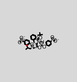 CC(C)CN(C[C@@H](OC(=O)Oc1ccc([N+](=O)[O-])cc1)[C@H](Cc1ccccc1)NC(=O)OC(C)(C)C)Oc1ccc([N+](=O)[O-])cc1